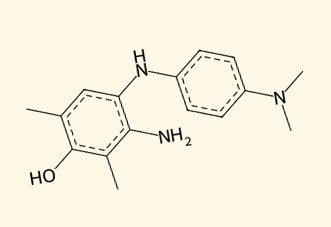 Cc1cc(Nc2ccc(N(C)C)cc2)c(N)c(C)c1O